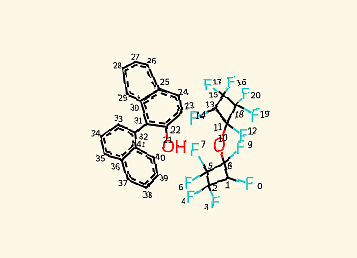 FC1C(F)(F)C(F)(F)C1(F)OC1(F)C(F)C(F)(F)C1(F)F.Oc1ccc2ccccc2c1-c1cccc2ccccc12